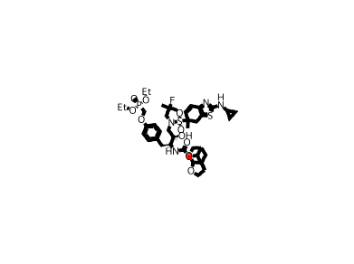 CCOP(=O)(COc1ccc(C[C@H](NC(=O)OC2C3COC4OCC2C4C3)[C@H](O)CN(CC(C)(C)F)S(=O)(=O)C2(C)C=Cc3nc(NC4CC4)sc3C2)cc1)OCC